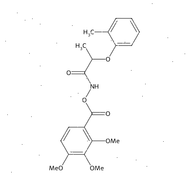 COc1ccc(C(=O)ONC(=O)C(C)Oc2ccccc2C)c(OC)c1OC